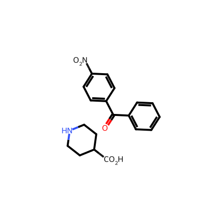 O=C(O)C1CCNCC1.O=C(c1ccccc1)c1ccc([N+](=O)[O-])cc1